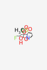 COC(CCCF)(C(=O)O)c1ncccc1S(=O)(=O)Cl